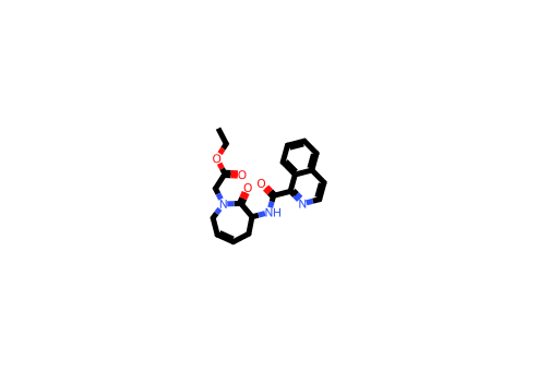 CCOC(=O)CN1CC=CCC(NC(=O)c2nccc3ccccc23)C1=O